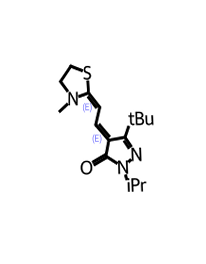 CC(C)N1N=C(C(C)(C)C)/C(=C\C=C2\SCCN2C)C1=O